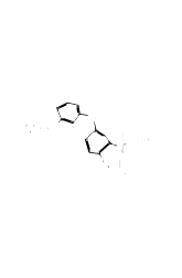 COc1cccc(Sc2ccc(N)c(NC=O)c2)c1